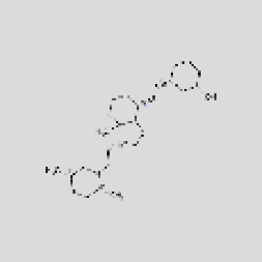 C[C@@H]1CN(CC[C@H]2CCC3/C(=C/C=C4/CCCC(O)C4)CCCC32C)[C@H](C)CO1